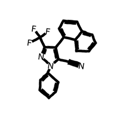 N#Cc1c(-c2cccc3ccccc23)c(C(F)(F)F)nn1-c1ccccc1